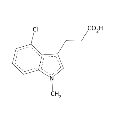 Cn1cc(CCC(=O)O)c2c(Cl)cccc21